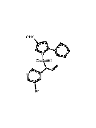 C=CC(c1cncc(Br)c1)S(=O)(=O)n1cc(C=O)cc1-c1ccccc1